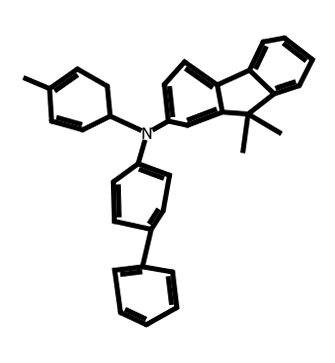 CC1=CCC(N(c2ccc(-c3ccccc3)cc2)c2ccc3c(c2)C(C)(C)c2ccccc2-3)C=C1